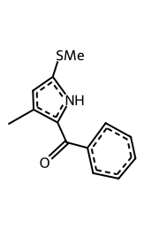 CSc1cc(C)c(C(=O)c2ccccc2)[nH]1